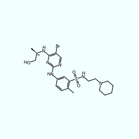 Cc1ccc(Nc2ncc(Br)c(N[C@H](C)CO)n2)cc1S(=O)(=O)NCCN1CCCCC1